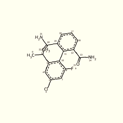 CC(C)c1cc(Cl)cc(F)c1-c1c(C(N)=O)cccc1C(N)=O